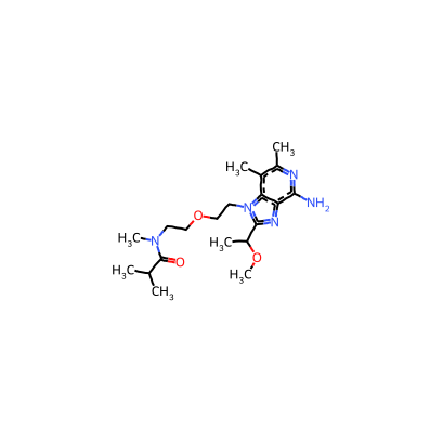 COC(C)c1nc2c(N)nc(C)c(C)c2n1CCOCCN(C)C(=O)C(C)C